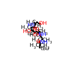 CCC(C)(C(O)C(=O)C(C)(C)NCCC(C)(C)NC(=O)C(C)(C)CC(C)(C)C)C(O)C(C)C(=O)NC(C)(C)CCO